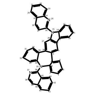 c1ccc2c(c1)-c1cc3c4ccccc4n(-c4ccc5ccccc5n4)c3cc1-c1ccccc1N2c1nccc2ccccc12